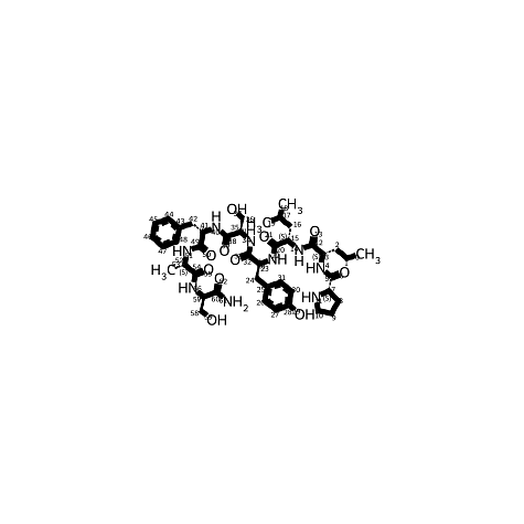 CCC[C@H](NC(=O)[C@@H]1CCCN1)C(=O)N[C@@H](CC(C)C)C(=O)N[C@@H](Cc1ccc(O)cc1)C(=O)N[C@H](CO)C(=O)N[C@@H](Cc1ccccc1)C(=O)N[C@@H](C)C(=O)N[C@H](CO)C(N)=O